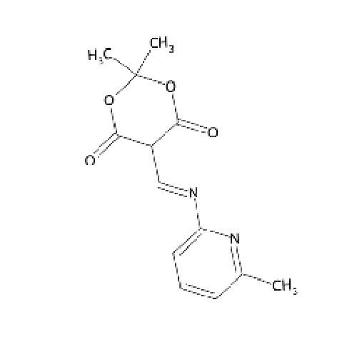 Cc1cccc(/N=C/C2C(=O)OC(C)(C)OC2=O)n1